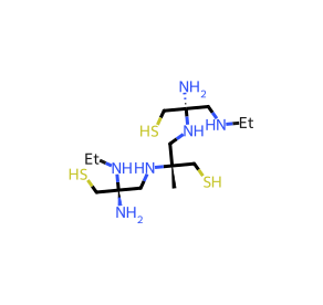 CCNC[C@](N)(CS)NC[C@](C)(CS)NC[C@](N)(CS)NCC